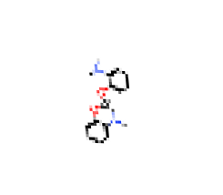 CN(C)c1ccccc1[O][Zr][O]c1ccccc1N(C)C